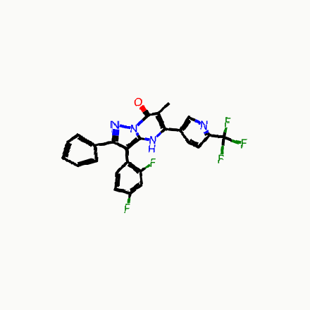 Cc1c(-c2ccc(C(F)(F)F)nc2)[nH]c2c(-c3ccc(F)cc3F)c(-c3ccccc3)nn2c1=O